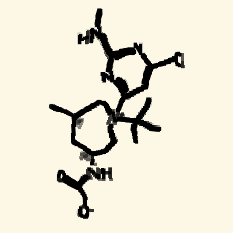 CNc1nc(Cl)cc([N+]2(C(C)(C)C)C[C@H](C)C[C@@H](NC(=O)[O-])C2)n1